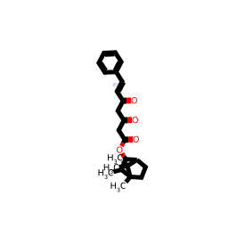 CC1C(OC(=O)CC(=O)CC(=O)/C=C/c2ccccc2)C2CCC1(C)C2(C)C